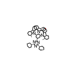 Cc1cccc2c3cccc(C)c3n(-c3cc(-c4nc(-c5ccccc5)nc(-c5ccccc5)n4)cc(-n4c5c(C)cccc5c5cccc(C)c54)c3-n3c4c(C)cccc4c4cccc(C)c43)c12